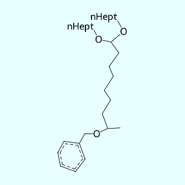 CCCCCCCOC(CCCCCCC(C)OCc1ccccc1)OCCCCCCC